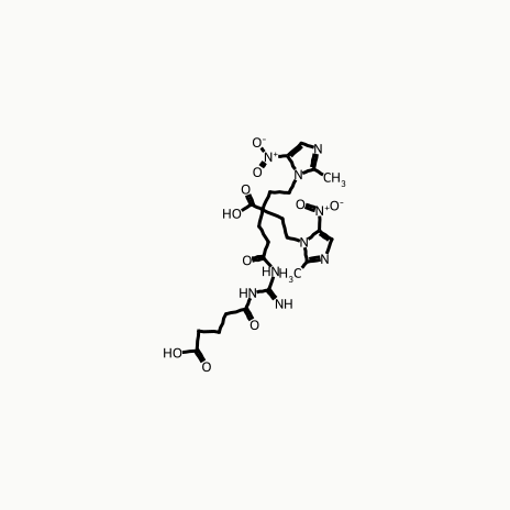 Cc1ncc([N+](=O)[O-])n1CCC(CCC(=O)NC(=N)NC(=O)CCCC(=O)O)(CCn1c([N+](=O)[O-])cnc1C)C(=O)O